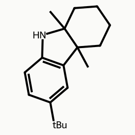 CC(C)(C)c1ccc2c(c1)C1(C)CCCCC1(C)N2